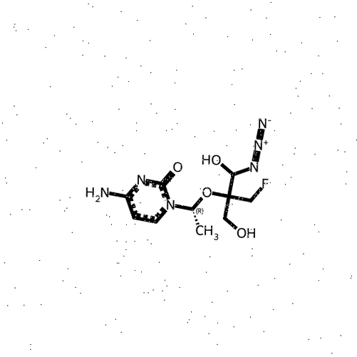 C[C@@H](OC(CO)(CF)C(O)N=[N+]=[N-])n1ccc(N)nc1=O